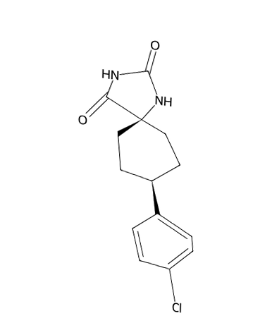 O=C1NC(=O)[C@]2(CC[C@H](c3ccc(Cl)cc3)CC2)N1